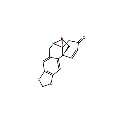 O=C1C=C[C@]23CCN(Cc4cc5c(cc42)OCO5)[C@H]3C1